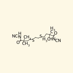 CC(C)(CCSCCSCCC(C)(C)C(=O)NC#N)C(=O)NC#N